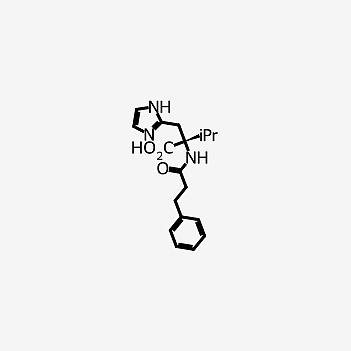 CC(C)[C@@](Cc1ncc[nH]1)(NC(=O)CCc1ccccc1)C(=O)O